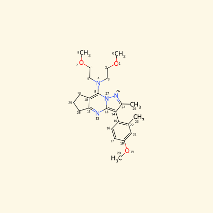 COCCN(CCOC)c1c2c(nc3c(-c4ccc(OC)cc4C)c(C)nn13)CCC2